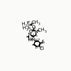 CN(Cc1ncnn1-c1ccc(Cl)c(F)c1)C(=O)OC(C)(C)C